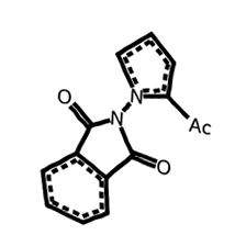 CC(=O)c1cccn1N1C(=O)c2ccccc2C1=O